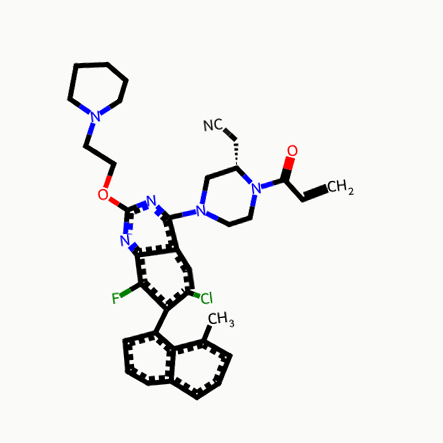 C=CC(=O)N1CCN(c2nc(OCCN3CCCCC3)nc3c(F)c(-c4cccc5cccc(C)c45)c(Cl)cc23)C[C@@H]1CC#N